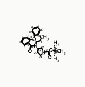 CCCN(C(=O)c1ccccc1Oc1ccccc1)[C@H]1CCN(C(=O)OC(C)(C)C)C1